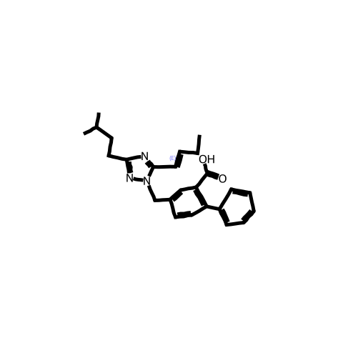 CC/C=C/c1nc(CCC(C)C)nn1Cc1ccc(-c2ccccc2)c(C(=O)O)c1